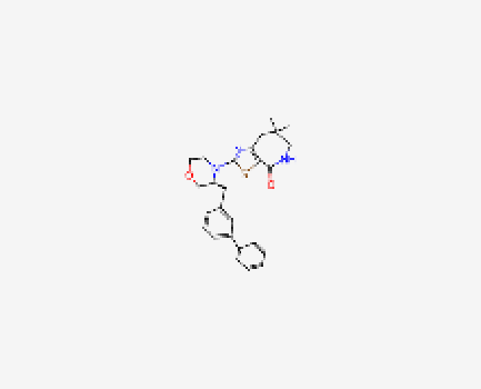 CC1(C)CNC(=O)c2sc(N3CCOC[C@@H]3Cc3cccc(-c4ccccc4)c3)nc2C1